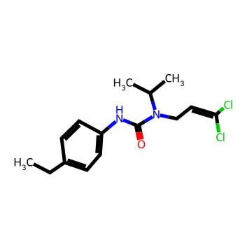 CCc1ccc(NC(=O)N(CC=C(Cl)Cl)C(C)C)cc1